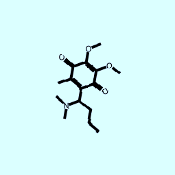 CCCC(C1=C(C)C(=O)C(OC)=C(OC)C1=O)N(C)C